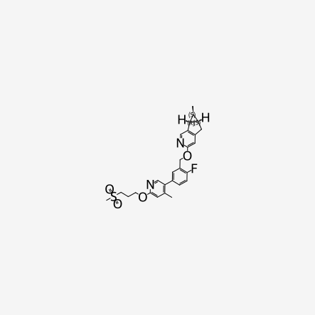 Cc1cc(OCCCS(C)(=O)=O)ncc1-c1ccc(F)c(COc2cc3c(cn2)[C@@H]2[C@@H](C)[C@@H]2C3)c1